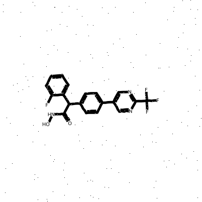 O=C(NO)C(c1ccc(-c2cnc(C(F)(F)F)nc2)cc1)c1ccccc1F